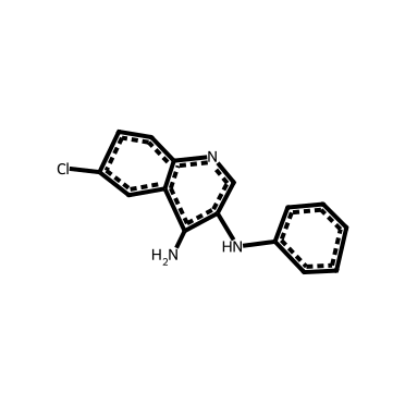 Nc1c(Nc2ccccc2)cnc2ccc(Cl)cc12